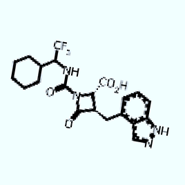 O=C(O)[C@@H]1[C@@H](Cc2cccc3[nH]ncc23)C(=O)N1C(=O)NC(C1CCCCC1)C(F)(F)F